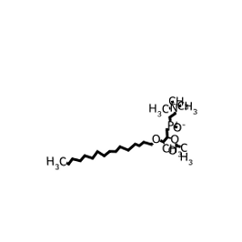 CCCCCCCCCCCCCCCCO[C@@H](C)[C@@H](/C=[P+](\[O-])CC[N+](C)(C)C)OC(C)=O